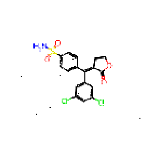 NS(=O)(=O)c1ccc(C(=C2CCOC2=O)c2cc(Cl)cc(Cl)c2)cc1